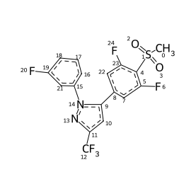 CS(=O)(=O)c1c(F)cc(-c2cc(C(F)(F)F)nn2-c2cccc(F)c2)cc1F